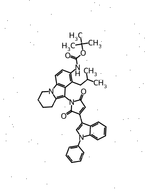 CC(C)Cc1c(NC(=O)OC(C)(C)C)ccc2c1c(N1C(=O)C=C(c3cn(-c4ccccc4)c4ccccc34)C1=O)c1n2CCCC1